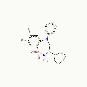 CN1C(C2CCCCC2)CN(c2ccccc2)c2cc(F)c(Br)cc2S1(=O)=O